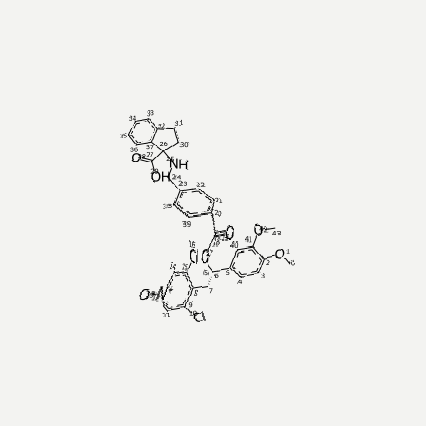 COc1ccc([C@H](Cc2c(Cl)c[n+]([O-])cc2Cl)OC(=O)c2ccc(CNC3(C(=O)O)CCc4ccccc43)cc2)cc1OC